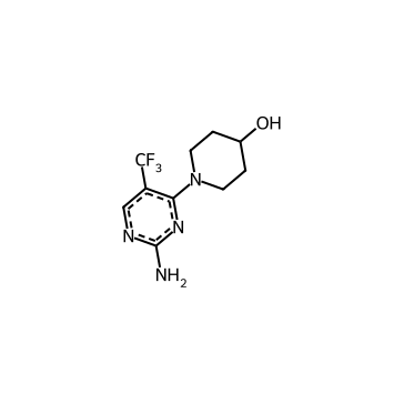 Nc1ncc(C(F)(F)F)c(N2CCC(O)CC2)n1